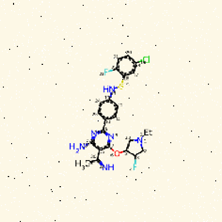 CCN1CC(F)C(Oc2nc(-c3ccc(NSc4cc(Cl)ccc4F)cc3)nc(N)c2C(C)=N)C1